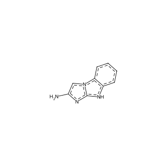 Nc1cn2c(n1)[nH]c1ccccc12